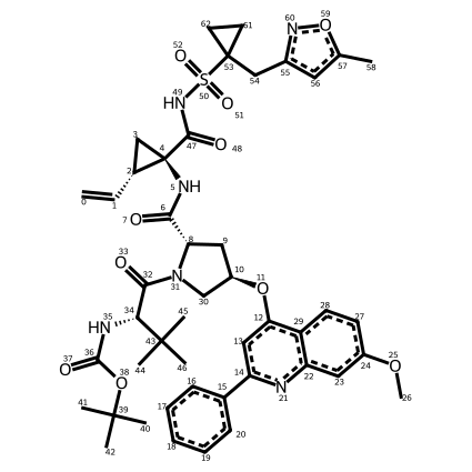 C=C[C@@H]1C[C@]1(NC(=O)[C@@H]1C[C@@H](Oc2cc(-c3ccccc3)nc3cc(OC)ccc23)CN1C(=O)[C@@H](NC(=O)OC(C)(C)C)C(C)(C)C)C(=O)NS(=O)(=O)C1(Cc2cc(C)on2)CC1